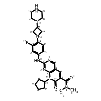 CN(C)C(=O)c1cc2cnc(Nc3ccc(N4CC(N5CCNCC5)C4)c(F)c3)nc2n(C2CCCC2)c1=O